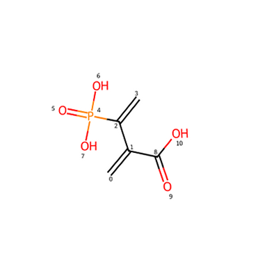 C=C(C(=C)P(=O)(O)O)C(=O)O